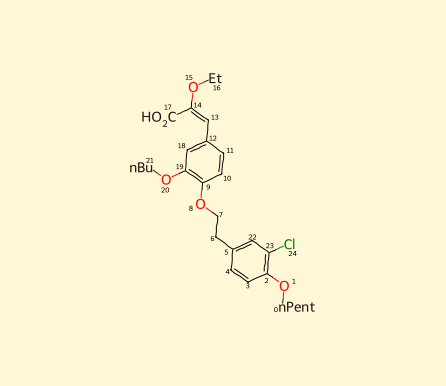 CCCCCOc1ccc(CCOc2ccc(/C=C(/OCC)C(=O)O)cc2OCCCC)cc1Cl